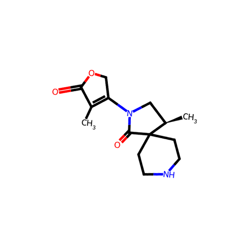 CC1=C(N2C[C@@H](C)C3(CCNCC3)C2=O)COC1=O